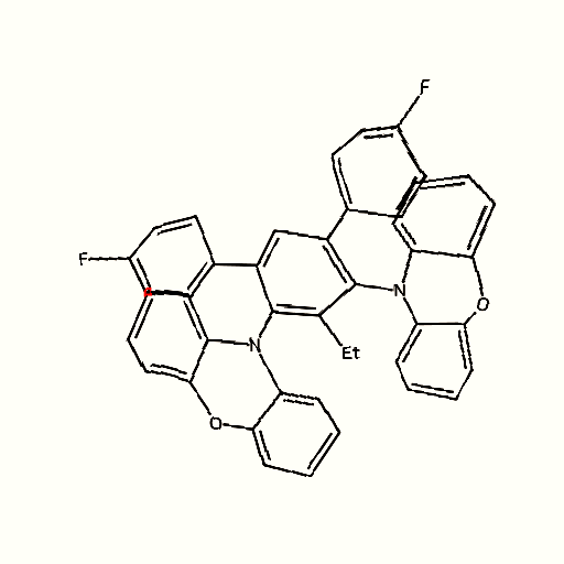 CCc1c(N2c3ccccc3Oc3ccccc32)c(-c2ccc(F)cc2)cc(-c2ccc(F)cc2)c1N1c2ccccc2Oc2ccccc21